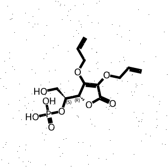 C=CCOC1=C(OCC=C)[C@@H]([C@H](CO)OP(=O)(O)O)OC1=O